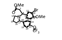 COC(=O)CC(c1ccc(OC)c(Br)c1)N1CCCC1c1ccc(OC(F)(F)F)cc1